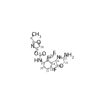 CCc1nc(OC(=O)Nc2ccc(F)c([C@]3(C(F)F)COCC(N)=N3)c2)co1